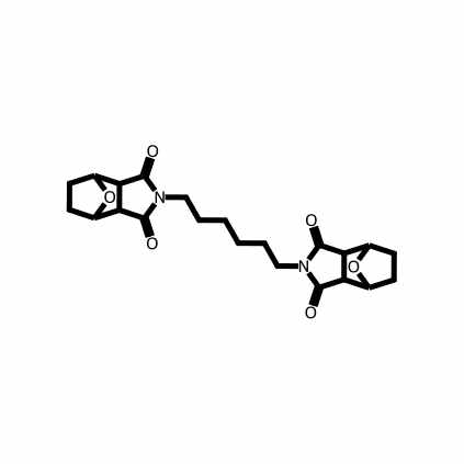 O=C1C2C3CCC(O3)C2C(=O)N1CCCCCCN1C(=O)C2C3CCC(O3)C2C1=O